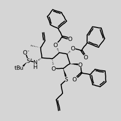 C=CCCS[C@H]1O[C@H]([C@H](N[S@+]([O-])C(C)(C)C)[C@H](C)C=C)[C@H](OC(=O)c2ccccc2)[C@H](OC(=O)c2ccccc2)[C@H]1OC(=O)c1ccccc1